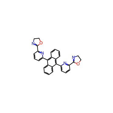 c1cc(C2=NCCO2)nc(-c2c3ccccc3c(-c3cccc(C4=NCCO4)n3)c3ccccc23)c1